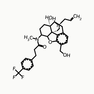 C=CCN1CC[C@]23c4c5ccc(CO)c4OC2C(N(C)C(=O)CCc2ccc(C(F)(F)F)cc2)CC[C@@]3(CO)[C@H]1C5